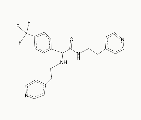 O=C(NCCc1ccncc1)C(NCCc1ccncc1)c1ccc(C(F)(F)F)cc1